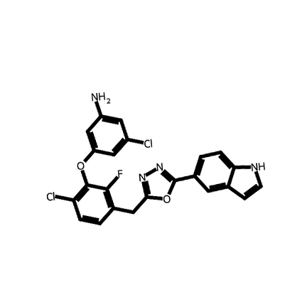 Nc1cc(Cl)cc(Oc2c(Cl)ccc(Cc3nnc(-c4ccc5[nH]ccc5c4)o3)c2F)c1